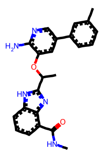 CNC(=O)c1cccc2[nH]c(C(C)Oc3cc(-c4cccc(C)c4)cnc3N)nc12